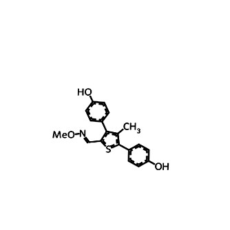 CON=Cc1sc(-c2ccc(O)cc2)c(C)c1-c1ccc(O)cc1